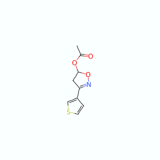 CC(=O)OC1CC(c2ccsc2)=NO1